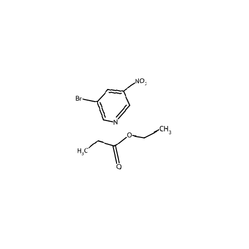 CCOC(=O)CC.O=[N+]([O-])c1cncc(Br)c1